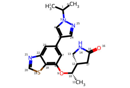 CC(C)n1cc(-c2cc(O[C@@H](C)[C@@H]3CNC(=O)C3)c3scnc3c2)cn1